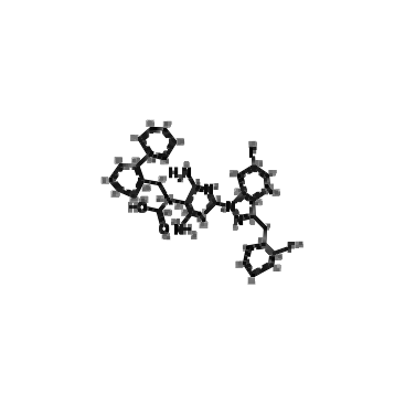 Nc1nc(-n2nc(Cc3ccccc3F)c3ncc(F)cc32)nc(N)c1N(Cc1ccccc1-c1ccccc1)C(=O)O